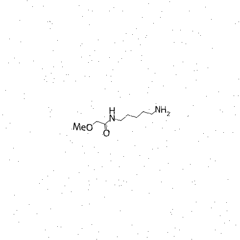 COCC(=O)NCCCCCN